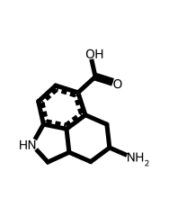 NC1Cc2c(C(=O)O)ccc3c2C(CN3)C1